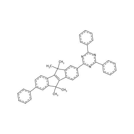 CC1(C)C2=C(c3ccc(-c4ccccc4)cc31)C(C)(C)c1cc(-c3nc(-c4ccccc4)nc(-c4ccccc4)n3)ccc12